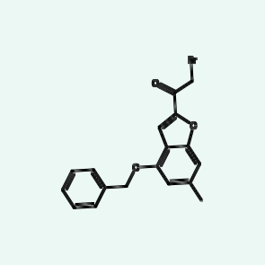 Cc1cc(OCc2ccccc2)c2cc(C(=O)CBr)oc2c1